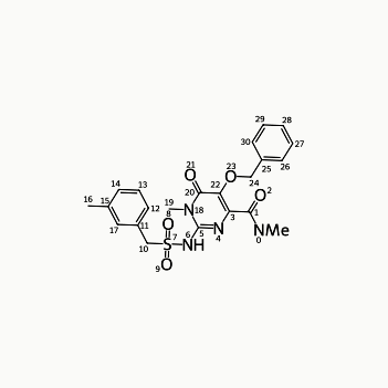 CNC(=O)c1nc(NS(=O)(=O)Cc2cccc(C)c2)n(C)c(=O)c1OCc1ccccc1